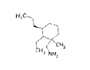 CCC[C@H]1CCCC(C)(CN)C1CC